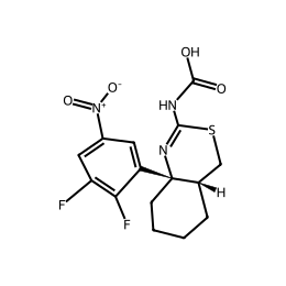 O=C(O)NC1=N[C@@]2(c3cc([N+](=O)[O-])cc(F)c3F)CCCC[C@H]2CS1